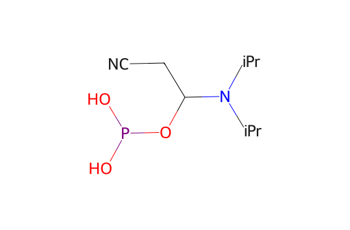 CC(C)N(C(C)C)C(CC#N)OP(O)O